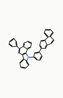 c1ccc(-c2cc3c4ccccc4n(-c4cccc(-c5ccc6c(ccc7ccccc76)c5)c4)c3c3ccccc23)cc1